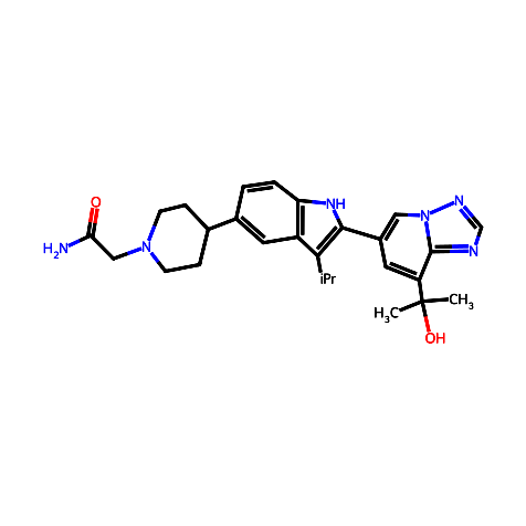 CC(C)c1c(-c2cc(C(C)(C)O)c3ncnn3c2)[nH]c2ccc(C3CCN(CC(N)=O)CC3)cc12